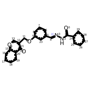 O=C(N/N=C/c1cccc(OCc2coc3ccccc3c2=O)c1)c1ccccc1